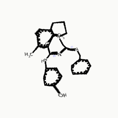 Cc1cccc(C)c1/C(=N\C(=N/c1ccccc1)N1CCCCC1C)Nc1ccc(O)cc1